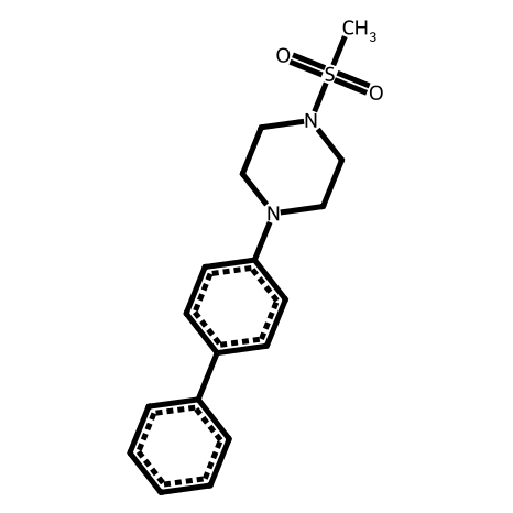 CS(=O)(=O)N1CCN(c2ccc(-c3ccccc3)cc2)CC1